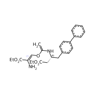 C=C(N[C@@H](CC(=O)OCC)Cc1ccc(-c2ccccc2)cc1)O/C=C(\N)C(=O)OCC